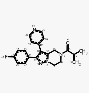 C=C(C)C(=O)N1CCn2nc(-c3ccc(F)cc3)c(-c3ccncc3)c2C1